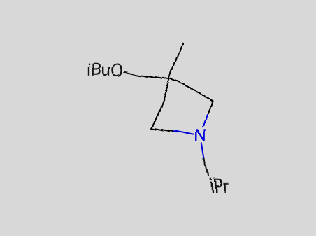 CC(C)COC1(C)CN(C(C)C)C1